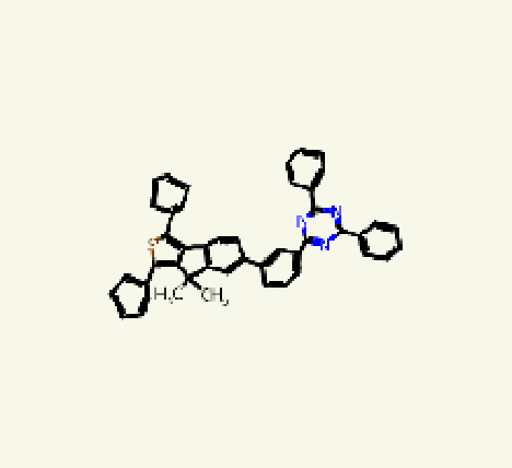 CC1(C)c2cc(-c3cccc(-c4nc(-c5ccccc5)nc(-c5ccccc5)n4)c3)ccc2-c2c(-c3ccccc3)sc(-c3ccccc3)c21